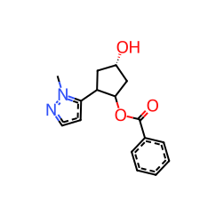 Cn1nccc1C1C[C@H](O)CC1OC(=O)c1ccccc1